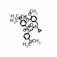 COc1ccc(CN(C(=O)CN(c2cccc(N(C)C)c2)S(=O)(=O)c2ccc(C(C)(C)C)cc2)C2CC2)cc1OC